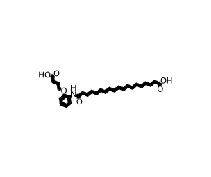 O=C(O)CCCCCCCCCCCCCCCCCC(=O)Nc1ccccc1OCCCC(=O)O